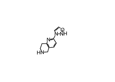 C1=CN(c2ccc3c(n2)CCNC3)NO1